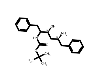 CC(C)(C)OC(=O)NC(Cc1ccccc1)[C@@H](O)C[C@@H](N)Cc1ccccc1